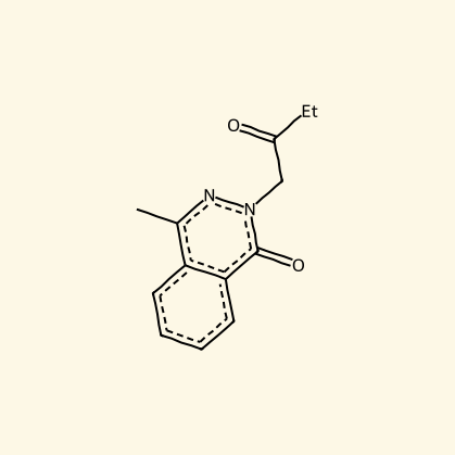 CCC(=O)Cn1nc(C)c2ccccc2c1=O